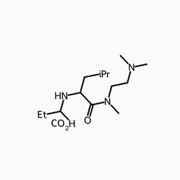 CCC(NC(CC(C)C)C(=O)N(C)CCN(C)C)C(=O)O